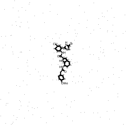 COc1ccc(CC(=O)Nc2cccc3cc(C(=O)Nc4ccc(Cl)cc4-c4noc(=O)[nH]4)[nH]c23)cc1